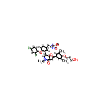 Cc1cc(-c2cc3c(=O)n(C)cc(-c4cc(CCN[SH](=O)=O)ccc4Oc4ccc(F)cc4F)c3o2)cc(C)c1OCCCO